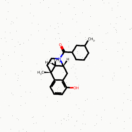 CC1CCCC(C(=O)N2CC[C@@]3(C)c4cccc(O)c4C[C@@H]2C3(C)C)C1